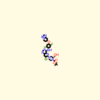 CC(C)(C)OC(=O)N1CCN(c2nc3c(Nc4cc(F)c(Oc5ccn6ncnc6c5)cc4F)ncnc3cc2Br)C[C@H]1CO